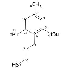 Cc1cc(C(C)(C)C)c(CCCS)c(C(C)(C)C)c1